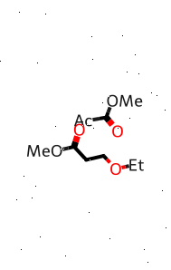 CCOCCC(=O)OC.COC(=O)C(C)=O